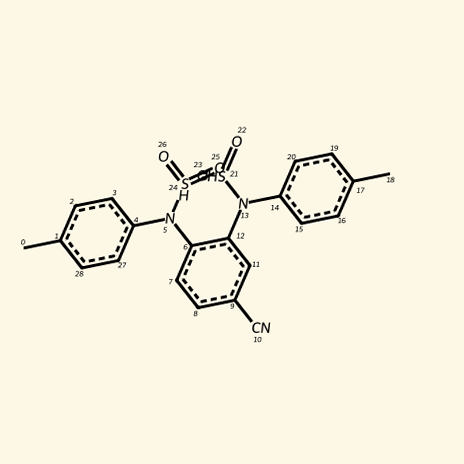 Cc1ccc(N(c2ccc(C#N)cc2N(c2ccc(C)cc2)[SH](=O)=O)[SH](=O)=O)cc1